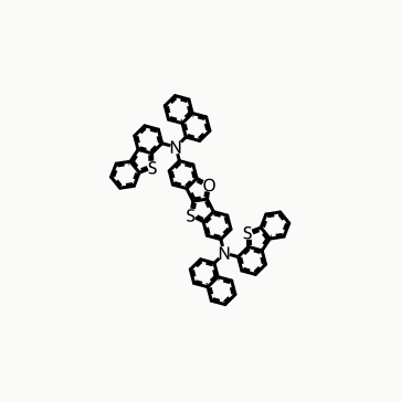 c1ccc2c(N(c3ccc4c(c3)oc3c5ccc(N(c6cccc7ccccc67)c6cccc7c6sc6ccccc67)cc5sc43)c3cccc4c3sc3ccccc34)cccc2c1